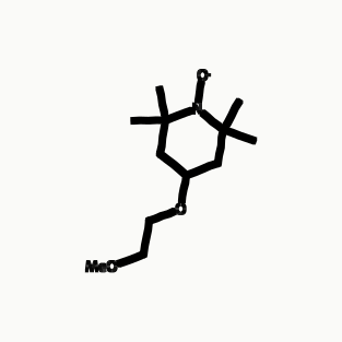 COCCOC1CC(C)(C)N([O])C(C)(C)C1